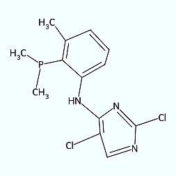 Cc1cccc(Nc2nc(Cl)ncc2Cl)c1P(C)C